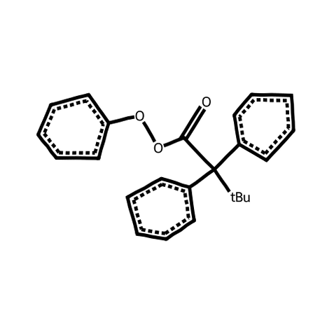 CC(C)(C)C(C(=O)OOc1ccccc1)(c1ccccc1)c1ccccc1